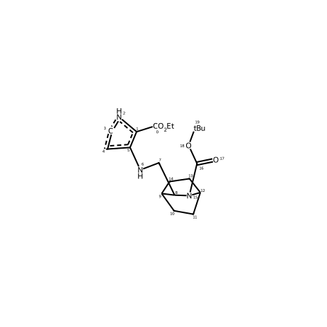 CCOC(=O)c1[nH]ccc1NCC1C2CCC(CC2)N1C(=O)OC(C)(C)C